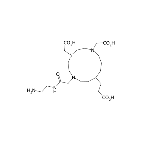 NCCNC(=O)CN1CCC(CCC(=O)O)CCCN(CC(=O)O)CCN(CC(=O)O)CC1